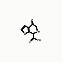 O=C1CNC(C(=O)O)c2occc21